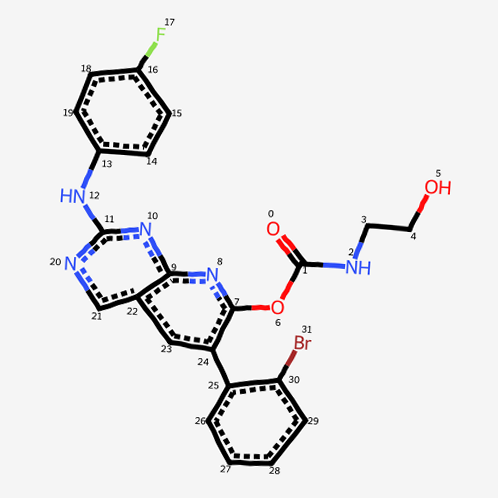 O=C(NCCO)Oc1nc2nc(Nc3ccc(F)cc3)ncc2cc1-c1ccccc1Br